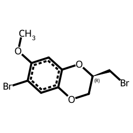 COc1cc2c(cc1Br)OC[C@H](CBr)O2